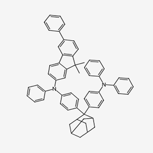 CC1(C)c2ccc(-c3ccccc3)cc2-c2ccc(N(c3ccccc3)c3ccc(C4(c5ccc(N(c6ccccc6)c6ccccc6)cc5)C5CC6CC(C5)CC4C6)cc3)cc21